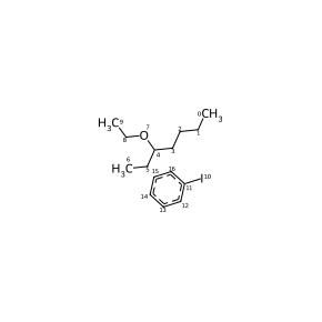 CCCCC(CC)OCC.Ic1ccccc1